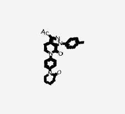 CC(=O)c1nn(-c2ccc(C)cc2)c2c1CCN(c1ccc(N3CCCCC3=O)cc1)C2=O